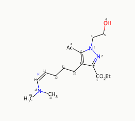 CCOC(=O)c1nn(CCO)c(C(C)=O)c1CCC/C=C\N(C)C